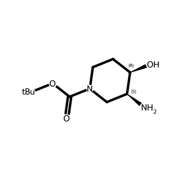 CC(C)(C)OC(=O)N1CC[C@@H](O)[C@@H](N)C1